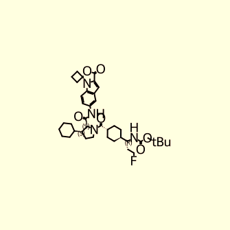 CC(C)(C)OC(=O)N[C@H](CCF)[C@H]1CC[C@H](C(=O)N2CC[C@@H](C3CCCCC3)[C@H]2C(=O)Nc2ccc3c(c2)cc2n3C3(CCC3)OC2=O)CC1